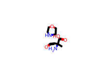 C1COCCN1.CC(N)(C=C=O)C(=O)O